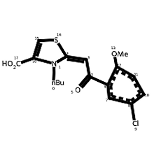 CCCCN1C(=CC(=O)c2cc(Cl)ccc2OC)SC=C1C(=O)O